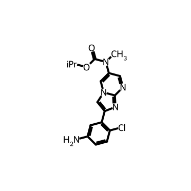 CC(C)OC(=O)N(C)c1cnc2nc(-c3cc(N)ccc3Cl)cn2c1